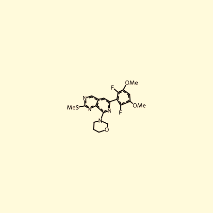 COc1cc(OC)c(F)c(-c2cc3cnc(SC)nc3c(N3CCCOC3)n2)c1F